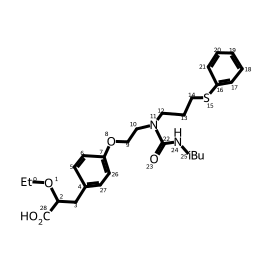 CCOC(Cc1ccc(OCCN(CCCSc2ccccc2)C(=O)NC(C)CC)cc1)C(=O)O